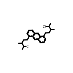 CC(Cl)C(C)CCc1cccc2cc3c(CCC(C)C(C)Cl)cccc3cc12